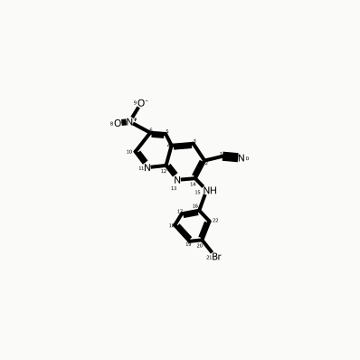 N#Cc1cc2cc([N+](=O)[O-])cnc2nc1Nc1cccc(Br)c1